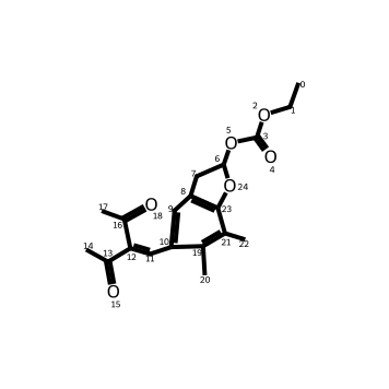 CCOC(=O)OC1Cc2cc(C=C(C(C)=O)C(C)=O)c(C)c(C)c2O1